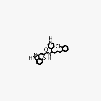 O=C(NC(CCCc1ccccc1Cl)C1CCNCC1)C1=Cc2n[nH]c3cccc(c23)S1